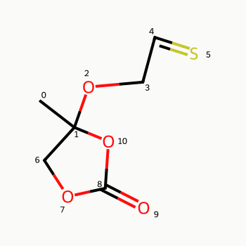 CC1(OCC=S)COC(=O)O1